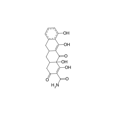 NC(=O)C1=C(O)C2(O)C(=O)C3=C(O)c4c(O)cccc4CC3CC2CC1=O